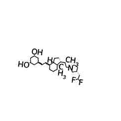 C[C@H](CN1CC[C@H](CC(F)F)C1)[C@H]1CC[C@H]2/C(=C/C=C3C[C@@H](O)C[C@H](O)C3)CCC[C@]12C